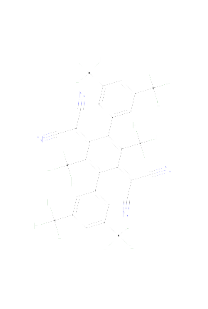 N#CC(C#N)=c1c(-c2cc(C(F)(F)F)cc(C(F)(F)F)c2)c(C(F)(F)F)c(=C(C#N)C#N)c(-c2cc(C(F)(F)F)cc(C(F)(F)F)c2)c1C(F)(F)F